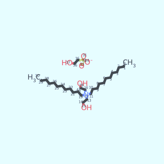 CCCCCCCCCCCC[N+](CCO)(CCO)CCCCCCCCCCCC.O=S(=O)([O-])CCO